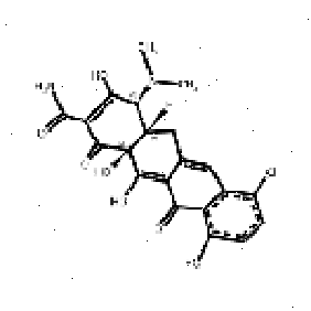 CN(C)[C@@H]1C(O)=C(C(N)=O)C(=O)[C@@]2(O)C(O)=C3C(=O)c4c(O)ccc(Cl)c4C=C3C[C@@H]12